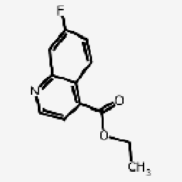 CCOC(=O)c1ccnc2cc(F)ccc12